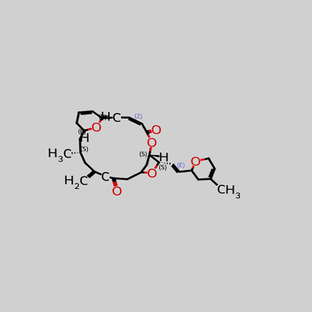 C=C1CC(=O)CC2C[C@H](OC(=O)/C=C\C[C@@H]3C=CC[C@@H](C[C@@H](C)C1)O3)[C@H](/C=C/C1CC(C)=CCO1)O2